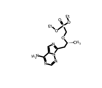 CCOP(=O)(CO[C@H](C)Cc1ncc2c(N)ncnn12)OCC